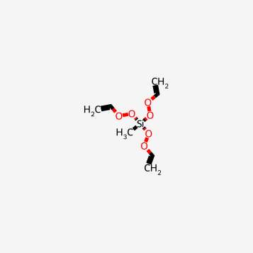 C=COO[Si](C)(OOC=C)OOC=C